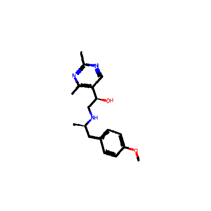 COc1ccc(C[C@@H](C)NC[C@H](O)c2cnc(C)nc2C)cc1